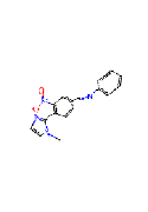 Cn1ccnc1-c1ccc(/C=N/c2ccccc2)cc1[N+](=O)[O-]